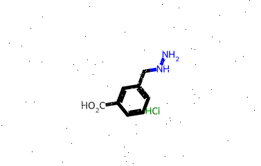 Cl.NNCc1cccc(C(=O)O)c1